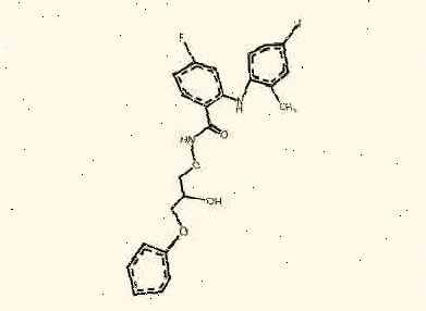 Cc1cc(I)ccc1Nc1cc(F)ccc1C(=O)NOCC(O)COc1ccccc1